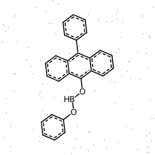 B(Oc1ccccc1)Oc1c2ccccc2c(-c2ccccc2)c2ccccc12